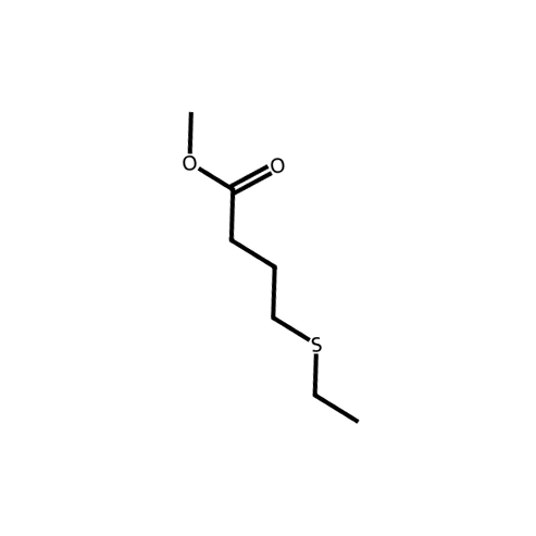 CCSCCCC(=O)OC